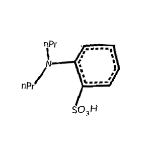 CCCN(CCC)c1[c]cccc1S(=O)(=O)O